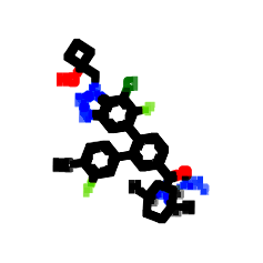 N#Cc1ccc(-c2cc(C(=O)N3[C@@H]4CC[C@H]3[C@@H](N)C4)ccc2-c2cc3nnn(CC4(O)CCC4)c3c(Cl)c2F)cc1F